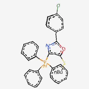 CCCCSc1oc(-c2ccc(Cl)cc2)nc1[PH](c1ccccc1)(c1ccccc1)c1ccccc1